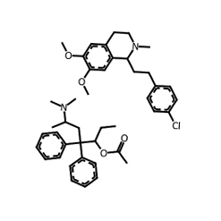 CCC(OC(C)=O)C(CC(C)N(C)C)(c1ccccc1)c1ccccc1.COc1cc2c(cc1OC)C(CCc1ccc(Cl)cc1)N(C)CC2